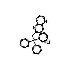 Cl.c1ccc([P](Cc2ccc3ncccc3n2)(c2ccccc2)c2ccccc2)cc1